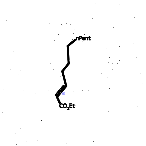 CCCCCCCC/C=C/C(=O)OCC